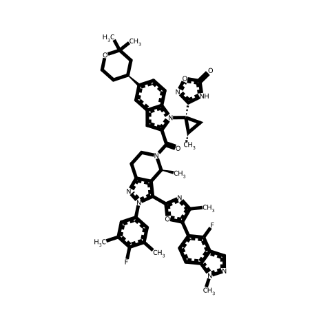 Cc1cc(-n2nc3c(c2-c2nc(C)c(-c4ccc5c(cnn5C)c4F)o2)[C@H](C)N(C(=O)c2cc4cc([C@H]5CCOC(C)(C)C5)ccc4n2[C@@]2(c4noc(=O)[nH]4)C[C@@H]2C)CC3)cc(C)c1F